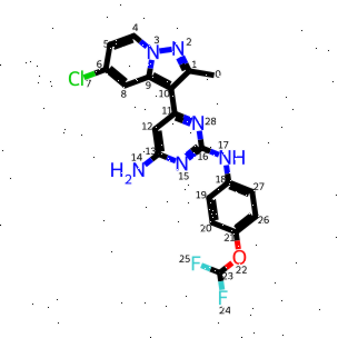 Cc1nn2ccc(Cl)cc2c1-c1cc(N)nc(Nc2ccc(OC(F)F)cc2)n1